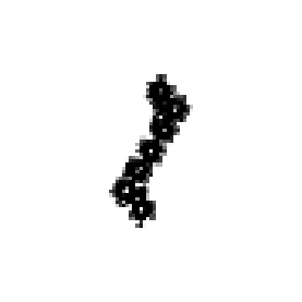 c1ccc2c(c1)sc1c(-c3ccc(-c4ccc(-c5ccc(-c6cccc7c6sc6ccccc67)nc5)cc4)cn3)cccc12